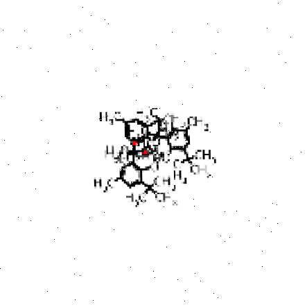 Cc1cc(C(C)(C)C)c([O][Zr]([CH3])([O]c2c(C(C)(C)C)cc(C)cc2C(C)(C)C)[O]c2c(C(C)(C)C)cc(C)cc2C(C)(C)C)c(C(C)(C)C)c1